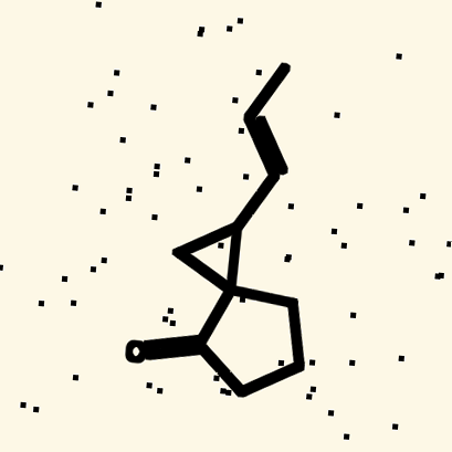 C/C=C/C1CC12CCCC2=O